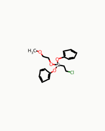 COCCO[Si](CCCl)(Oc1ccccc1)Oc1ccccc1